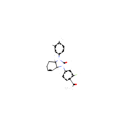 CNC(=O)c1ccc(N2C(=O)N(c3ccc(C#N)c(C(F)(F)F)c3)[C@H]3CCC=C[C@@H]32)cc1F